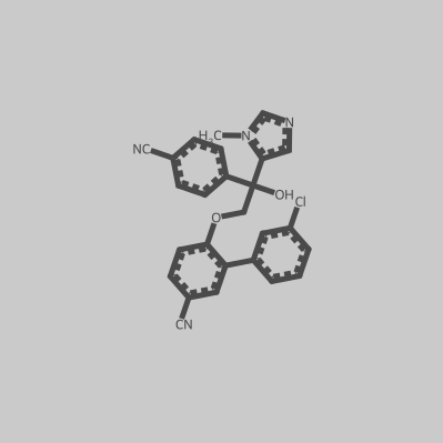 Cn1cncc1C(O)(COc1ccc(C#N)cc1-c1cccc(Cl)c1)c1ccc(C#N)cc1